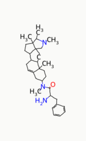 CC1N(C)CC23CCC4C(CC=C5CC(N(C)C(=O)C(N)Cc6ccccc6)CCC54C)C2CCC13C